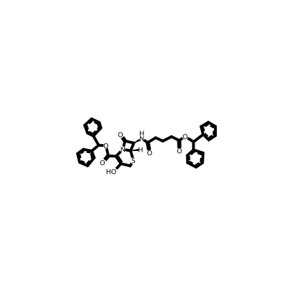 O=C(CCCC(=O)OC(c1ccccc1)c1ccccc1)N[C@@H]1C(=O)N2C(C(=O)OC(c3ccccc3)c3ccccc3)=C(O)CS[C@@H]12